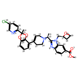 COC(=O)c1ccc2nc([C@H](C)N3CC=C(c4cccc5c4OC(C)(c4ccc(Cl)cn4)O5)CC3)n(C[C@@H]3CCO3)c2c1